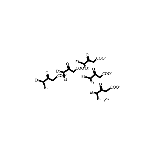 CCC(CC)C(=O)CC(=O)[O-].CCC(CC)C(=O)CC(=O)[O-].CCC(CC)C(=O)CC(=O)[O-].CCC(CC)C(=O)CC(=O)[O-].CCC(CC)C(=O)CC(=O)[O-].[V+5]